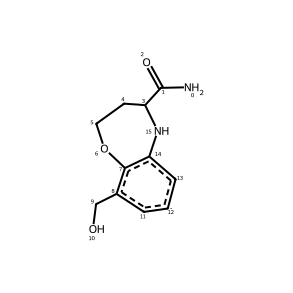 NC(=O)C1CCOc2c(CO)c[c]cc2N1